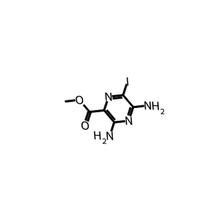 COC(=O)c1nc(I)c(N)nc1N